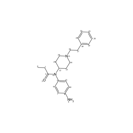 CCC(=O)N(c1ccc(N)cc1)C1CCN(CCc2ccccc2)CC1